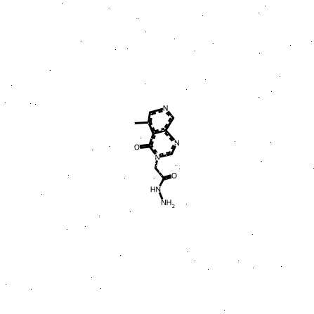 Cc1cncc2ncn(CC(=O)NN)c(=O)c12